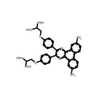 Bc1ccc2c3ccc(B)cc3c3nc(-c4ccc(OCC(CCCCCC)CCCCCCCC)cc4)c(-c4ccc(OCC(CCCCCC)CCCCCCCC)cc4)nc3c2c1